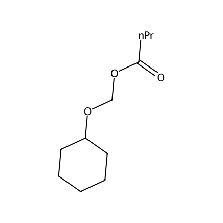 CCCC(=O)OCOC1CCCCC1